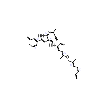 C#CC(C)/N=C1/NC(C(/C=C\C)=C/C=C)=C/C1=C\N/C(C=C)=C/C=C(\C)OC/C(C)=C/C=C\C=C